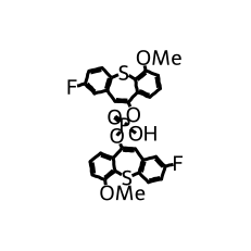 COc1cccc2c1Sc1ccc(F)cc1C=C2OP(=O)(O)OC1=Cc2cc(F)ccc2Sc2c(OC)cccc21